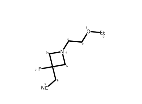 CCOCCN1CC(F)(CC#N)C1